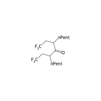 CCCCCC(CC(F)(F)F)C(=O)C(CCCCC)CC(F)(F)F